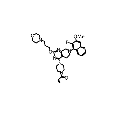 C=CC(=O)N1CCN(c2nc(OCCCN3CCOCC3)nc3c2CCN(c2c(F)c(OC)cc4ccccc24)C3)CC1